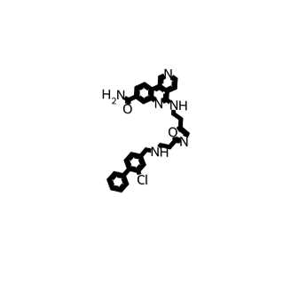 NC(=O)c1ccc2c(c1)nc(NCCc1cnc(CCNCc3ccc(-c4ccccc4)c(Cl)c3)o1)c1ccncc12